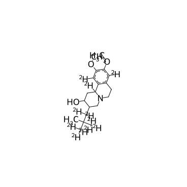 [2H]c1c2c(c([2H])c(OC)c1OC)C1([2H])CC(O)C(C([2H])([2H])C(C)(C([2H])([2H])[2H])C([2H])([2H])[2H])CN1CC2